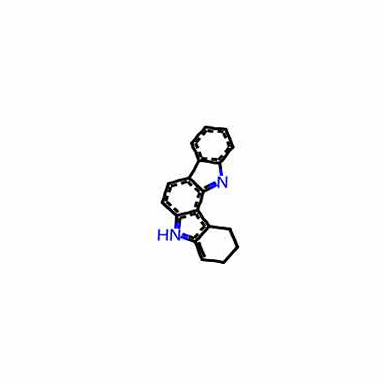 C1=c2[nH]c3ccc4c(c3c2CCC1)=Nc1ccccc1-4